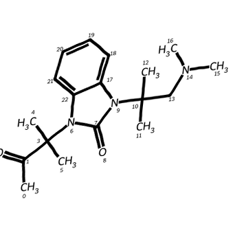 CC(=O)C(C)(C)n1c(=O)n(C(C)(C)CN(C)C)c2ccccc21